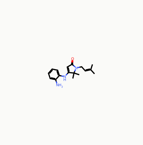 CC(C)=CCN1C(=O)C=C(Nc2ccccc2N)C1(C)C